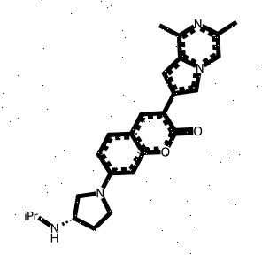 Cc1cn2cc(-c3cc4ccc(N5CC[C@H](NC(C)C)C5)cc4oc3=O)cc2c(C)n1